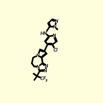 Cn1nccc1Nc1cc(-c2cc3n(c2)CCCn2c-3nnc2C(C)(C)C(F)(F)F)c(Cl)cn1